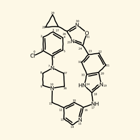 Clc1ccccc1N1CCN(Cc2ccnc(Nc3nc4ccc(-c5nc(C6CC6)no5)cc4[nH]3)c2)CC1